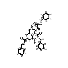 CN(CCC[C@@H](CC(=O)O)C(=O)OCc1ccccc1)C(=NC(=O)OCc1ccccc1)NC(=O)OCc1ccccc1